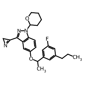 CCCc1cc(F)cc(C(C)Oc2ccc3c(c2)c(C2=NC2)nn3C2CCCCO2)c1